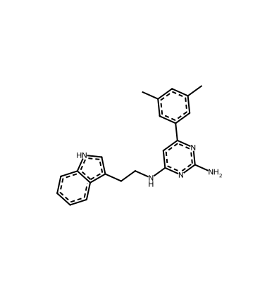 Cc1cc(C)cc(-c2cc(NCCc3c[nH]c4ccccc34)nc(N)n2)c1